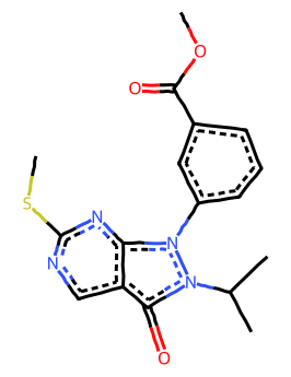 COC(=O)c1cccc(-n2c3nc(SC)ncc3c(=O)n2C(C)C)c1